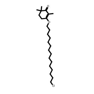 CC1=C(OCCCCCCCCCCCCCCCCl)CCC(C)(C)C1=O